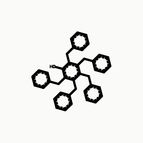 Oc1c(Cc2ccccc2)c(Cc2ccccc2)c(Cc2ccccc2)c(Cc2ccccc2)c1Cc1ccccc1